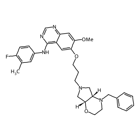 COc1cc2ncnc(Nc3ccc(F)c(C)c3)c2cc1OCCCN1C[C@H]2OCCN(Cc3ccccc3)[C@H]2C1